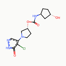 O=C(N[C@H]1CC[C@H](O)C1)O[C@@H]1CCN(c2cn[nH]c(=O)c2Cl)C1